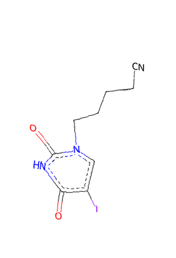 N#CCCCCn1cc(I)c(=O)[nH]c1=O